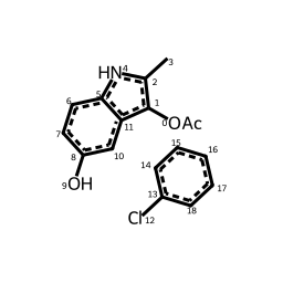 CC(=O)Oc1c(C)[nH]c2ccc(O)cc12.Clc1ccccc1